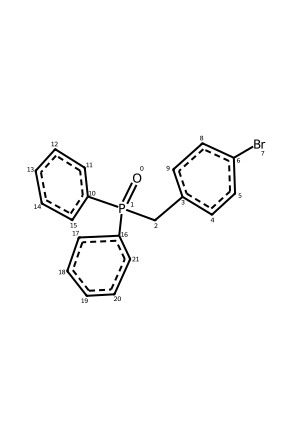 O=P(Cc1ccc(Br)cc1)(c1ccccc1)c1ccccc1